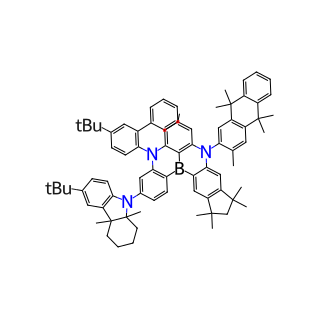 Cc1cc2c3c(c1)N(c1ccc(C(C)(C)C)cc1-c1ccccc1)c1cc(N4c5ccc(C(C)(C)C)cc5C5(C)CCCCC45C)ccc1B3c1cc3c(cc1N2c1cc2c(cc1C)C(C)(C)c1ccccc1C2(C)C)C(C)(C)CC3(C)C